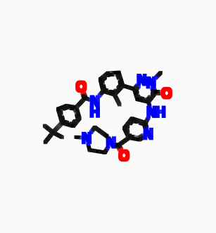 Cc1c(NC(=O)c2ccc(C(C)(C)C)cc2)cccc1-c1cc(Nc2ccc(C(=O)N3CCN(C)CC3)cn2)c(=O)n(C)n1